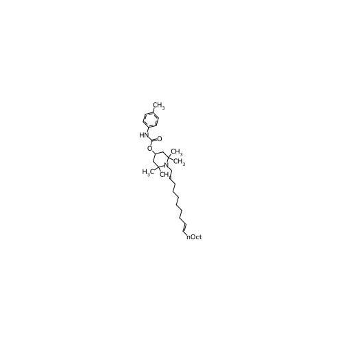 CCCCCCCCC=CCCCCCCCCN1C(C)(C)CC(OC(=O)Nc2ccc(C)cc2)CC1(C)C